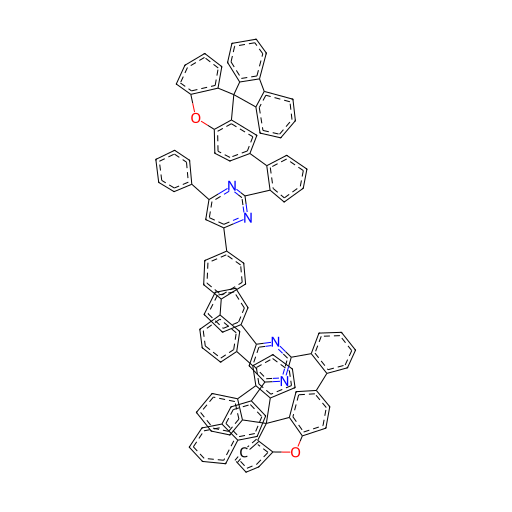 c1ccc(-c2cc(-c3ccc(-c4cccc(-c5cccc6c5-c5ccccc5C65c6ccccc6Oc6ccc(-c7ccccc7-c7nc(-c8ccccc8)cc(-c8ccc9ccccc9c8)n7)cc65)c4)cc3)nc(-c3ccccc3-c3ccc4c(c3)C3(c5ccccc5O4)c4ccccc4-c4ccccc43)n2)cc1